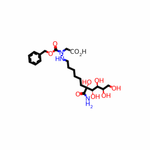 NC(=O)[C@@](O)(CCCCCCNN(CC(=O)O)C(=O)OCc1ccccc1)[C@@H](O)[C@@H](O)[C@H](O)CO